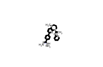 C=C(Nc1ccccn1)N1CCCN(C)c2ccc(-c3ccc(/C(=N/N)NN)cc3)nc21